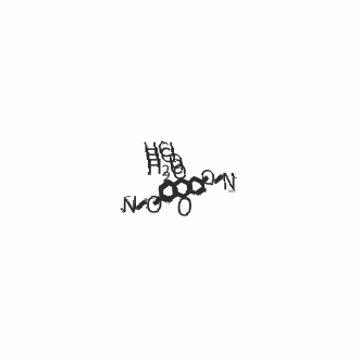 CN(C)CCOc1ccc2c(c1)C(=O)c1ccc(OCCN(C)C)cc1C2=O.Cl.Cl.O.O